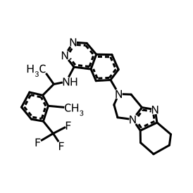 Cc1c(C(C)Nc2nncc3ccc(N4CCn5c(nc6c5CCCC6)C4)cc23)cccc1C(F)(F)F